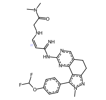 CN(C)C(=O)CN/C=C\C(=N)Nc1ncc2c(n1)-c1c(nn(C)c1-c1ccc(OC(F)F)cc1)CC2